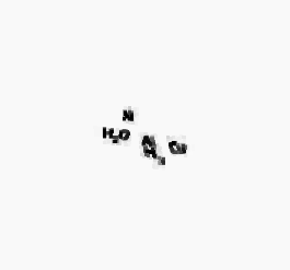 O.[AlH3].[Cu].[Ni]